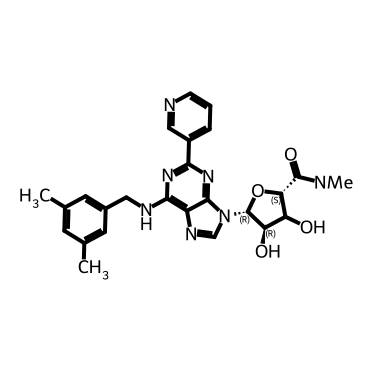 CNC(=O)[C@H]1O[C@@H](n2cnc3c(NCc4cc(C)cc(C)c4)nc(-c4cccnc4)nc32)[C@H](O)C1O